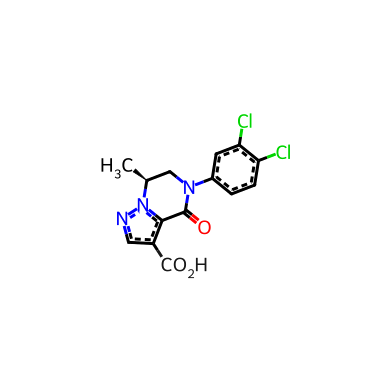 C[C@H]1CN(c2ccc(Cl)c(Cl)c2)C(=O)c2c(C(=O)O)cnn21